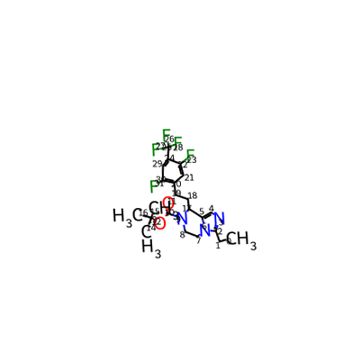 CCc1ncc2n1CCN(C(=O)OC(C)(C)C)C2CCc1cc(F)c(C(F)(F)F)cc1F